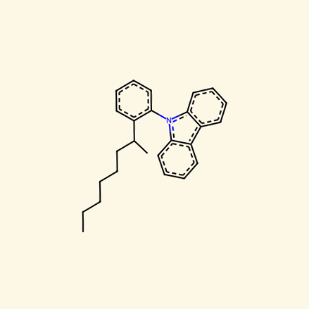 CCCCCCC(C)c1ccccc1-n1c2ccccc2c2ccccc21